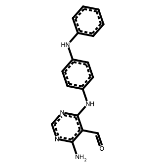 Nc1ncnc(Nc2ccc(Nc3ccccc3)cc2)c1C=O